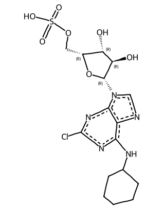 O=S(=O)(O)OC[C@H]1O[C@@H](n2cnc3c(NC4CCCCC4)nc(Cl)nc32)[C@H](O)[C@H]1O